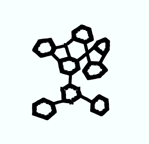 c1ccc(-c2nc(-c3ccccc3)nc(-c3cc4c5c(c3)C3(c6ccccc6B5c5ccccc5-4)c4ccccc4-c4ccccc43)n2)cc1